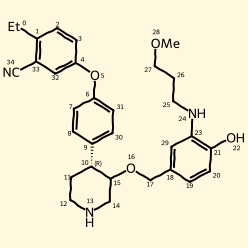 CCc1ccc(Oc2ccc([C@H]3CCNCC3OCc3ccc(O)c(NCCCOC)c3)cc2)cc1C#N